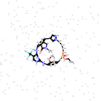 CCOP1(=O)Cc2ccc(c(OC)c2)Nc2ncc(C(F)(F)F)c(n2)Nc2ccc(c3c2C(=O)N(C)C3)-c2cnn(c2)CCCO1